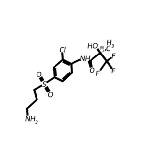 C[C@@](O)(C(=O)Nc1ccc(S(=O)(=O)CCCN)cc1Cl)C(F)(F)F